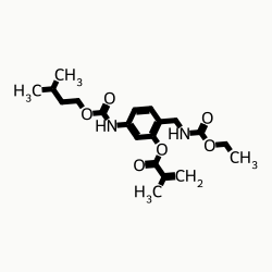 C=C(C)C(=O)Oc1cc(NC(=O)OCCC(C)C)ccc1CNC(=O)OCC